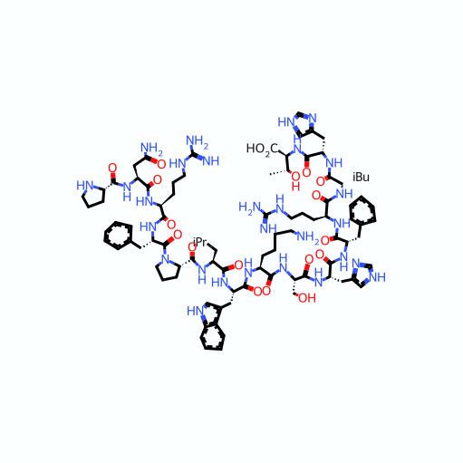 CC[C@H](C)[C@H](NC(=O)[C@H](CCCNC(=N)N)NC(=O)[C@H](Cc1ccccc1)NC(=O)[C@H](Cc1c[nH]cn1)NC(=O)[C@H](CO)NC(=O)[C@H](CCCCN)NC(=O)[C@H](Cc1c[nH]c2ccccc12)NC(=O)[C@H](CC(C)C)NC(=O)[C@@H]1CCCN1C(=O)[C@H](Cc1ccccc1)NC(=O)[C@H](CCCNC(=N)N)NC(=O)[C@H](CC(N)=O)NC(=O)[C@@H]1CCCN1)C(=O)N[C@@H](Cc1c[nH]cn1)C(=O)N[C@H](C(=O)O)[C@@H](C)O